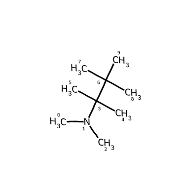 CN(C)C(C)(C)C(C)(C)C